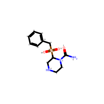 NC(=O)N1CCNCC1S(=O)(=O)Cc1ccccc1